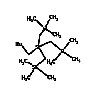 CCC(C)C[Si](C[Si](C)(C)C)(C[Si](C)(C)C)C[Si](C)(C)C